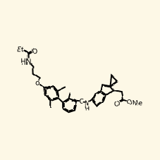 CCC(=O)NCCCOc1cc(C)c(-c2cccc(CNc3ccc4c(c3)CC3(CC3)C4CC(=O)OC)c2C)c(C)c1